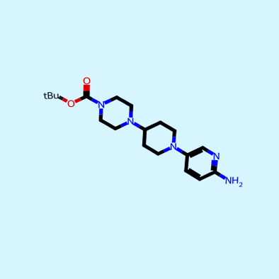 CC(C)(C)OC(=O)N1CCN(C2CCN(c3ccc(N)nc3)CC2)CC1